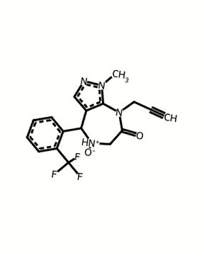 C#CCN1C(=O)C[NH+]([O-])C(c2ccccc2C(F)(F)F)c2cnn(C)c21